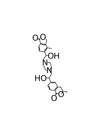 Cc1c(C(O)CN2CCN(CC(O)c3ccc4c(c3)C[C@@H](C)OC4=O)CC2)ccc2c1COC2=O